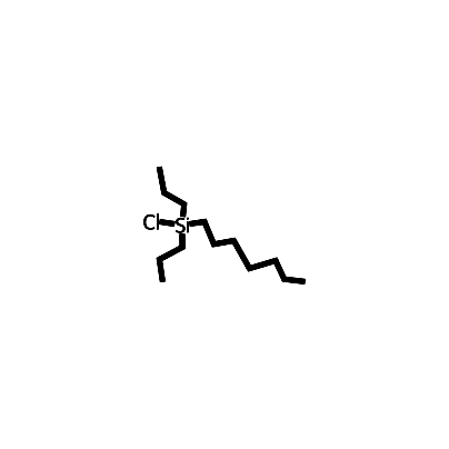 CCCCCCC[Si](Cl)(CCC)CCC